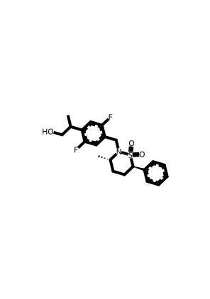 CC(CO)c1cc(F)c(CN2[C@@H](C)CC[C@H](c3ccccc3)S2(=O)=O)cc1F